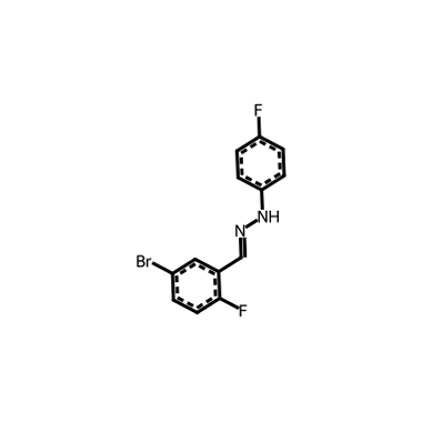 Fc1ccc(NN=Cc2cc(Br)ccc2F)cc1